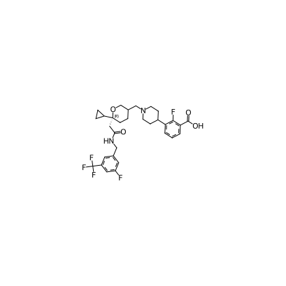 O=C(C[C@@]1(C2CC2)CCC(CN2CCC(c3cccc(C(=O)O)c3F)CC2)CO1)NCc1cc(F)cc(C(F)(F)F)c1